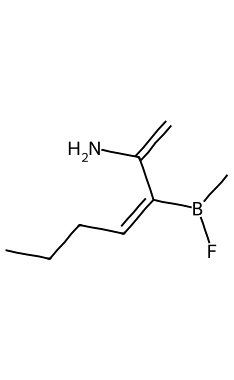 C=C(N)/C(=C\CCC)B(C)F